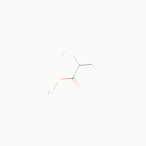 CCOC(=O)C(CC)SC